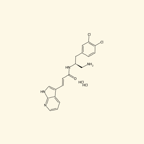 Cl.Cl.NC[C@H](Cc1ccc(Cl)c(Cl)c1)NC(=O)C=Cc1c[nH]c2ncccc12